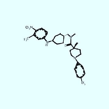 CN(C[C@H]1CC[C@H](Nc2ccc([N+](=O)[O-])c(C(F)(F)F)c2)CC1)C(=O)C1(C)CCN(c2ccc(C(F)(F)F)cc2)CC1